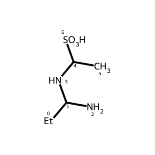 CCC(N)NC(C)S(=O)(=O)O